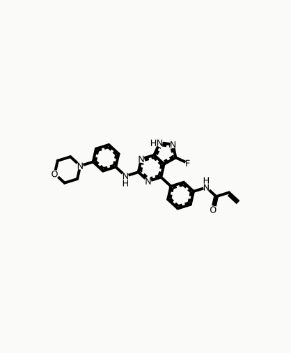 C=CC(=O)Nc1cccc(-c2nc(Nc3cccc(N4CCOCC4)c3)nc3[nH]nc(F)c23)c1